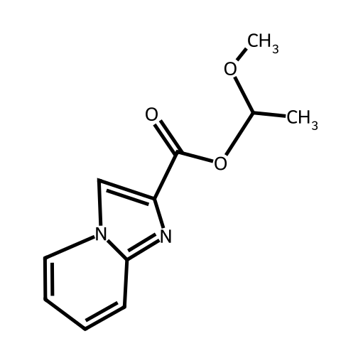 COC(C)OC(=O)c1cn2ccccc2n1